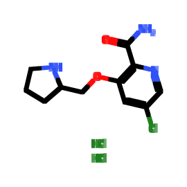 Cl.Cl.NC(=O)c1ncc(Cl)cc1OCC1CCCN1